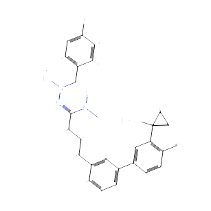 CCN(C)/C(CCCc1cccc(-c2ccc(C)c(C3(C(=O)O)CC3)c2)c1)=N\N(C=O)Cc1ccc(C(C)(C)C)cc1